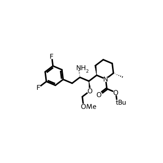 COCO[C@H]([C@H]1CCC[C@H](C)N1C(=O)OC(C)(C)C)[C@@H](N)Cc1cc(F)cc(F)c1